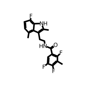 Cc1[nH]c2c(F)ccc(C)c2c1CCNC(=O)c1cc(F)c(F)c(C)c1F